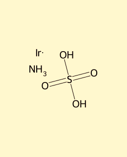 N.O=S(=O)(O)O.[Ir]